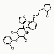 O=C1CC(c2ccsc2)(c2cccc(OCCN3CCCC3=O)n2)NC(=O)C1Sc1ccccc1Cl